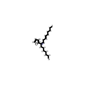 CCCCCC=CC/C=C(/CCCCCCC)c1ccco1